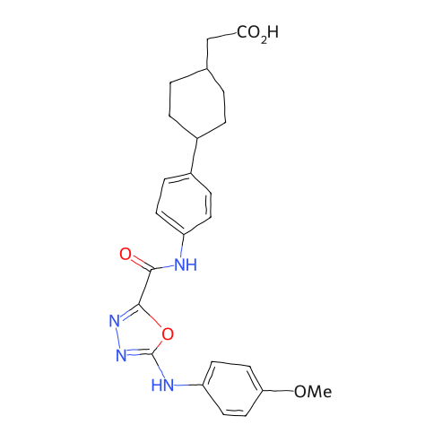 COc1ccc(Nc2nnc(C(=O)Nc3ccc(C4CCC(CC(=O)O)CC4)cc3)o2)cc1